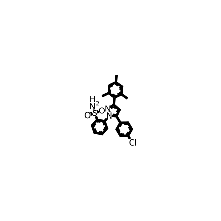 Cc1cc(C)c(-c2cc(-c3ccc(Cl)cc3)n(-c3ccccc3S(N)(=O)=O)n2)c(C)c1